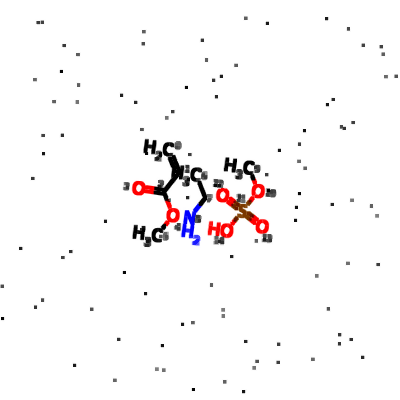 C=CC(=O)OC.CCN.COS(=O)(=O)O